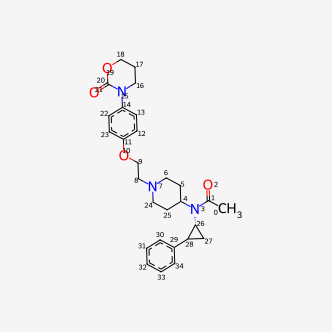 CC(=O)N(C1CCN(CCOc2ccc(N3CCCOC3=O)cc2)CC1)[C@@H]1CC1c1ccccc1